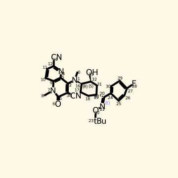 CN(c1c(C#N)c(=O)n(C)c2ccc(C#N)nc12)[C@@H]1CC[C@@H](/C(=N\OC(C)(C)C)c2ccc(F)cc2)C[C@@H]1O